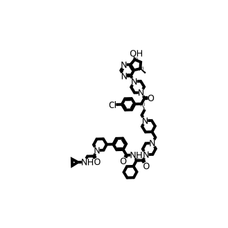 C[C@@H]1C[C@@H](O)c2ncnc(N3CCN(C(=O)[C@H](CCN4CCC(CN5CCN(C(=O)[C@H](NC(=O)c6cccc(C7CCCN(C(=O)CNC8CC8)C7)c6)C6CCCCC6)CC5)CC4)c4ccc(Cl)cc4)CC3)c21